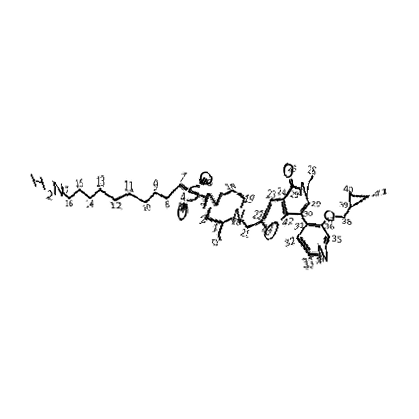 CC1CN(S(=O)(=O)CCCCCCCCCCN)CCN1Cc1cc2c(=O)n(C)cc(-c3ccncc3OCC3CC3)c2o1